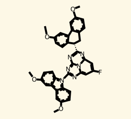 COc1ccc2c(c1)-c1cc(OC)ccc1[C@@H](C1=NC3=NC(n4c5ccc(OC)cc5c5cc(OC)ccc54)=NC4=CC(F)=CC(=N1)N43)C2